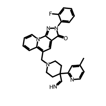 Cc1ccnc(C2(C=N)CCN(Cc3cc4c(=O)n(-c5ccccc5F)nc-4n4ccccc34)CC2)c1